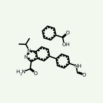 CC(C)n1nc(C(N)=O)c2cc(-c3ccc(NC=O)cc3)ccc21.O=C(O)c1ccccc1